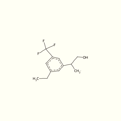 [CH2]C(CO)c1cc(CC)cc(C(F)(F)F)c1